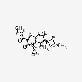 CCOC(=O)c1cc2cc(F)c(N3CC(C)C3)c(C)c2n(C2CC2)c1=O